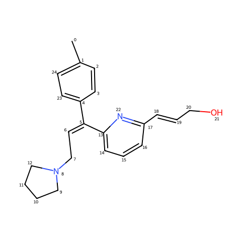 Cc1ccc(C(=CCN2CCCC2)c2cccc(C=CCO)n2)cc1